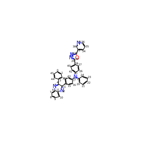 c1ccc(-c2nc3ccccc3nc2-c2ccc(N(c3ccccc3)c3ccc(-c4nnc(-c5cccnc5)o4)cc3)cc2)cc1